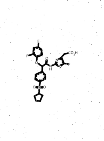 O=C(O)Cc1nc(NC(=O)C(Oc2ccc(F)cc2F)c2ccc(S(=O)(=O)C3CCCC3)cc2)sc1F